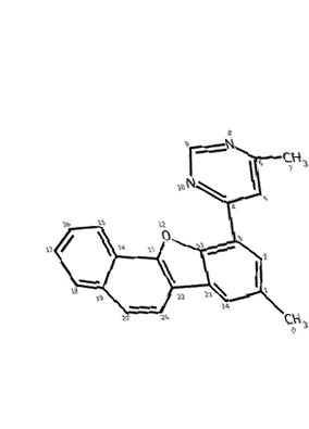 Cc1cc(-c2cc(C)ncn2)c2oc3c4ccccc4ccc3c2c1